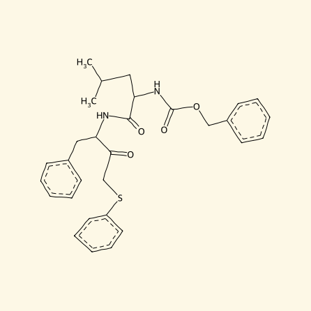 CC(C)CC(NC(=O)OCc1ccccc1)C(=O)NC(Cc1ccccc1)C(=O)CSc1ccccc1